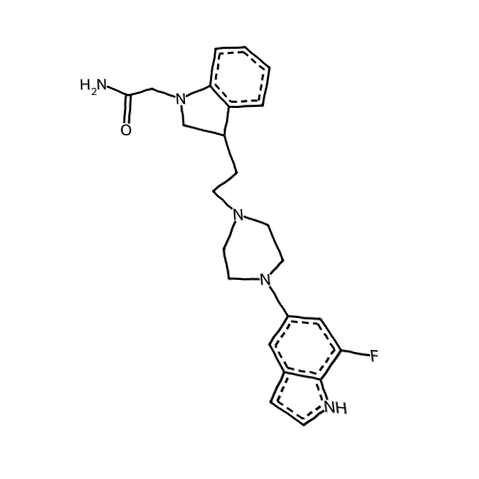 NC(=O)CN1CC(CCN2CCN(c3cc(F)c4[nH]ccc4c3)CC2)c2ccccc21